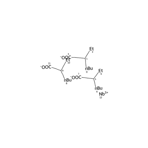 CCCCC(CC)C(=O)[O-].CCCCC(CC)C(=O)[O-].CCCCC(CC)C(=O)[O-].[Nb+3]